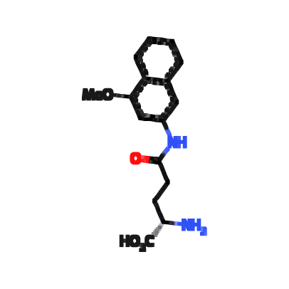 COc1cc(NC(=O)CC[C@H](N)C(=O)O)cc2ccccc12